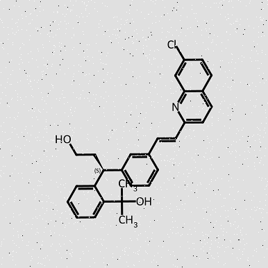 CC(C)(O)c1ccccc1[C@@H](CCO)c1cccc(C=Cc2ccc3ccc(Cl)cc3n2)c1